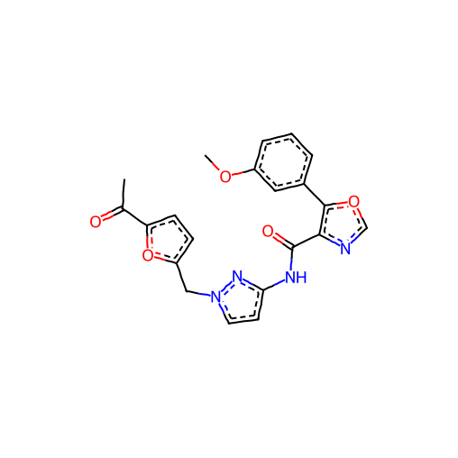 COc1cccc(-c2ocnc2C(=O)Nc2ccn(Cc3ccc(C(C)=O)o3)n2)c1